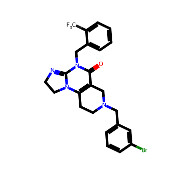 O=C1C2=C(CCN(Cc3cccc(Br)c3)C2)N2CCN=C2N1Cc1ccccc1C(F)(F)F